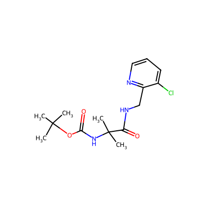 CC(C)(C)OC(=O)NC(C)(C)C(=O)NCc1ncccc1Cl